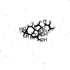 CC1=C[C@]23C(O)[C@@H](C=C(CO)[C@@H](O)[C@]2(O)[C@H]1OC(=O)C(C)=C(C)C)[C@@H]1C(C)(C)[C@]1(O)C[C@H]3C